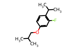 CC(C)COc1ccc(C(C)C)c(F)c1